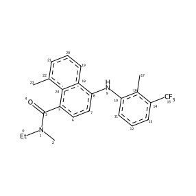 CCN(C)C(=O)c1ccc(Nc2cccc(C(F)(F)F)c2C)c2cccc(C)c12